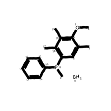 B.COc1c(C)cc(P(C)c2ccccc2)c(C)c1C